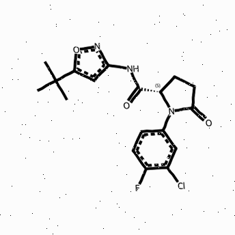 CC(C)(C)c1cc(NC(=O)[C@@H]2CCC(=O)N2c2ccc(F)c(Cl)c2)no1